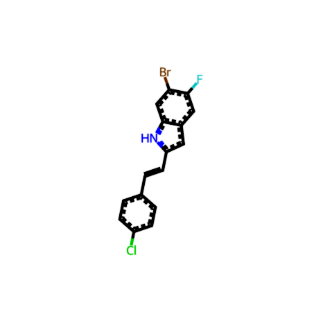 Fc1cc2cc(C=Cc3ccc(Cl)cc3)[nH]c2cc1Br